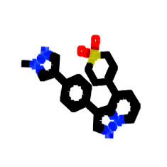 Cn1cc(-c2ccc(-c3cnn4cccc(C5=CCS(=O)(=O)CC5)c34)cc2)cn1